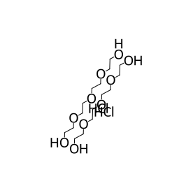 Cl.Cl.OCCOCCOCCOCCO.OCCOCCOCCOCCO